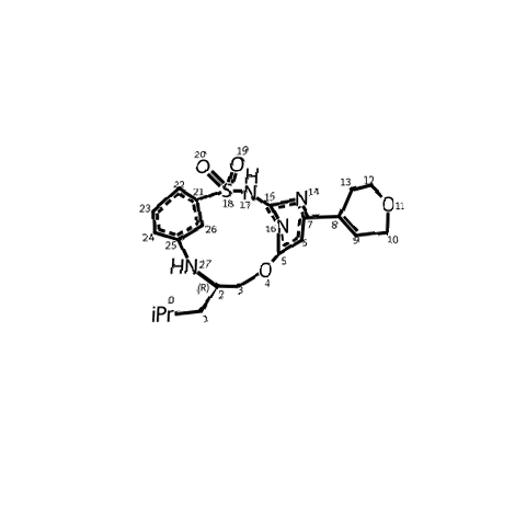 CC(C)C[C@@H]1COc2cc(C3=CCOCC3)nc(n2)NS(=O)(=O)c2cccc(c2)N1